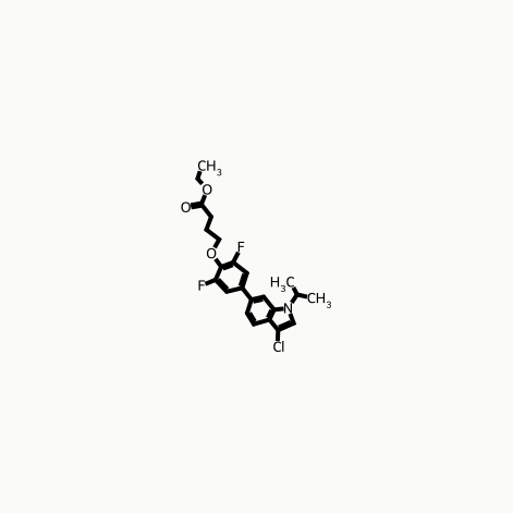 CCOC(=O)CCCOc1c(F)cc(-c2ccc3c(Cl)cn(C(C)C)c3c2)cc1F